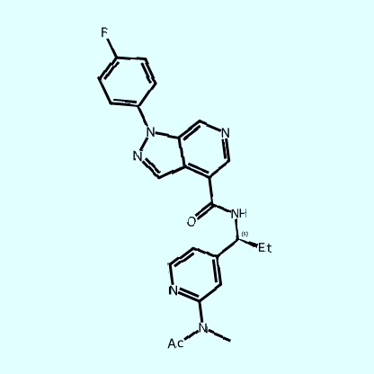 CC[C@H](NC(=O)c1cncc2c1cnn2-c1ccc(F)cc1)c1ccnc(N(C)C(C)=O)c1